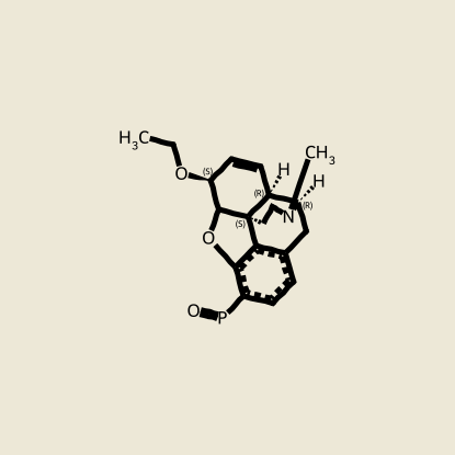 CCO[C@H]1C=C[C@H]2[C@H]3Cc4ccc(P=O)c5c4[C@@]2(CCN3C)C1O5